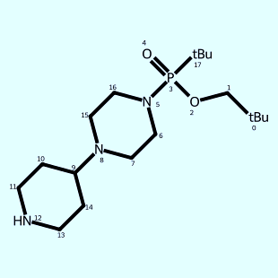 CC(C)(C)COP(=O)(N1CCN(C2CCNCC2)CC1)C(C)(C)C